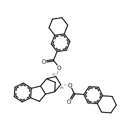 O=C(O[C@@H]1C2CC(C3c4ccccc4CC32)[C@@H]1OC(=O)c1ccc2c(c1)CCCC2)c1ccc2c(c1)CCCC2